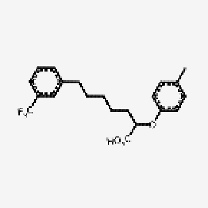 Cc1ccc(OC(CCCCCc2cccc(C(F)(F)F)c2)C(=O)O)cc1